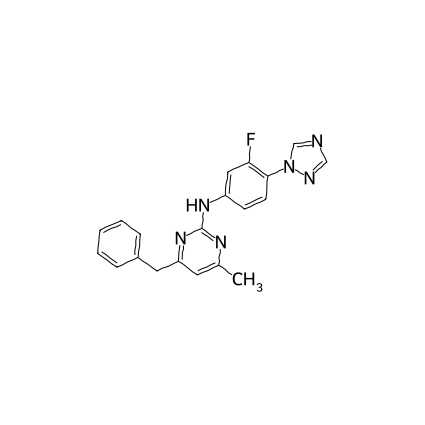 Cc1cc(Cc2ccccc2)nc(Nc2ccc(-n3cncn3)c(F)c2)n1